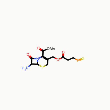 COC(=O)C1=C(COC(=O)CCP=S)CSC2C(N)C(=O)N12